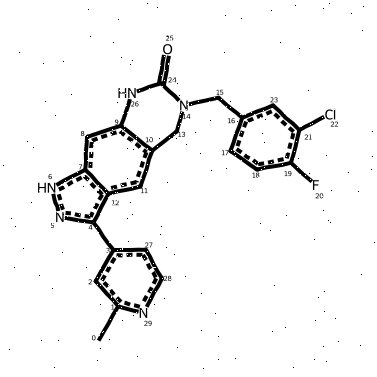 Cc1cc(-c2n[nH]c3cc4c(cc23)CN(Cc2ccc(F)c(Cl)c2)C(=O)N4)ccn1